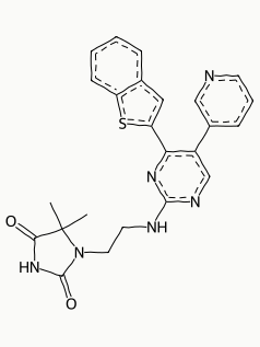 CC1(C)C(=O)NC(=O)N1CCNc1ncc(-c2cccnc2)c(-c2cc3ccccc3s2)n1